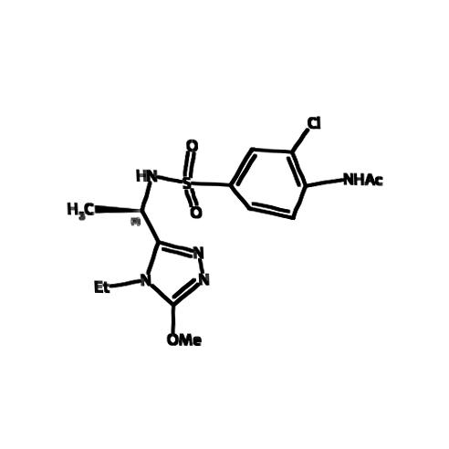 CCn1c(OC)nnc1[C@@H](C)NS(=O)(=O)c1ccc(NC(C)=O)c(Cl)c1